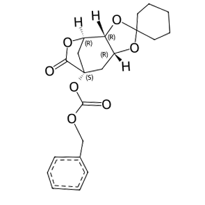 O=C(OCc1ccccc1)O[C@@]12C[C@@H](OC1=O)[C@@H]1OC3(CCCCC3)O[C@@H]1C2